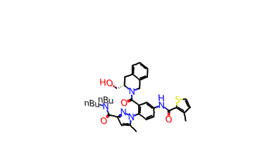 CCCCN(CCCC)C(=O)c1cc(C)n(-c2ccc(NC(=O)c3sccc3C)cc2C(=O)N2Cc3ccccc3C[C@H]2CO)n1